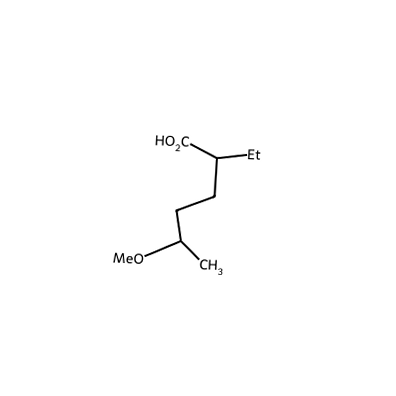 CCC(CCC(C)OC)C(=O)O